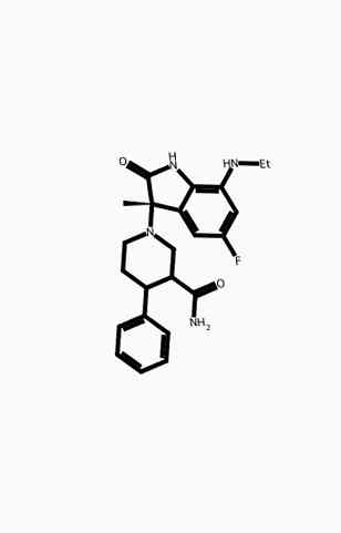 CCNc1cc(F)cc2c1NC(=O)[C@@]2(C)N1CCC(c2ccccc2)C(C(N)=O)C1